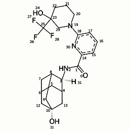 O=C(N[C@H]1C2CC3CC1C[C@](O)(C3)C2)c1cccc(N2CCCC(O)(C(F)(F)F)C2)n1